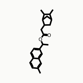 Cc1ccc2ccc(C(C)OC(=O)CC3CC4CC3C(C)C4C)cc2c1